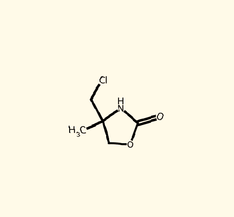 CC1(CCl)COC(=O)N1